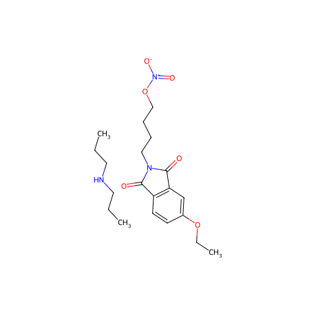 CCCNCCC.CCOc1ccc2c(c1)C(=O)N(CCCCO[N+](=O)[O-])C2=O